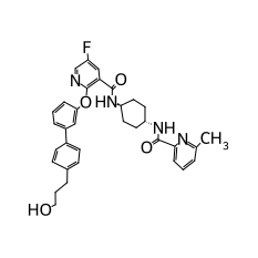 Cc1cccc(C(=O)N[C@H]2CC[C@H](NC(=O)c3cc(F)cnc3Oc3cccc(-c4ccc(CCCO)cc4)c3)CC2)n1